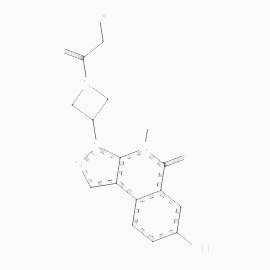 Cc1ccc2c(c1)c(=O)n(C)c1c2cnn1C1CN(C(=O)CO)C1